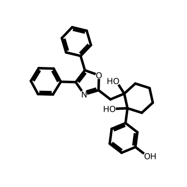 Oc1cccc(C2(O)CCCCC2(O)Cc2nc(-c3ccccc3)c(-c3ccccc3)o2)c1